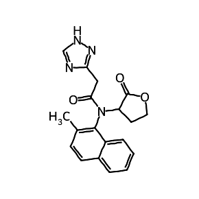 Cc1ccc2ccccc2c1N(C(=O)Cc1nc[nH]n1)C1CCOC1=O